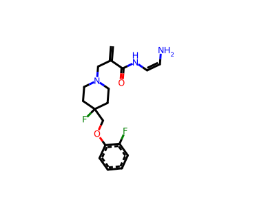 C=C(CN1CCC(F)(COc2ccccc2F)CC1)C(=O)N/C=C\N